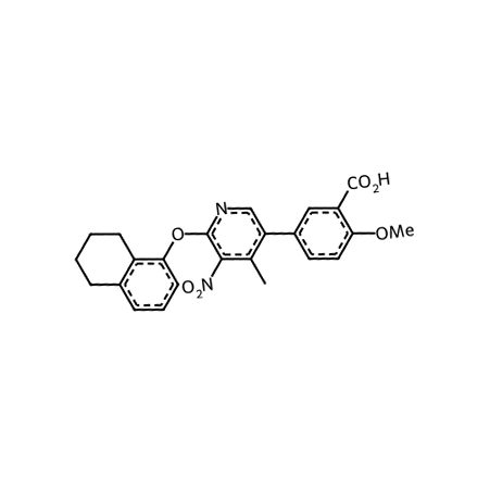 COc1ccc(-c2cnc(Oc3cccc4c3CCCC4)c([N+](=O)[O-])c2C)cc1C(=O)O